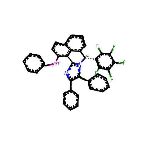 Fc1c(F)c(F)c([C@H]2c3cccc4ccc(Pc5ccccc5)c(c34)-c3nc(-c4ccccc4)c(-c4ccccc4)n32)c(F)c1F